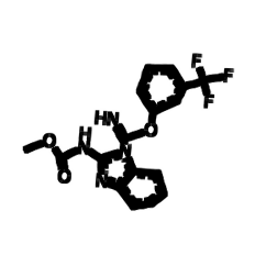 COC(=O)Nc1nc2ccccc2n1C(=N)Oc1cccc(C(F)(F)F)c1